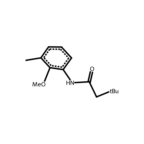 COc1c(C)cccc1NC(=O)CC(C)(C)C